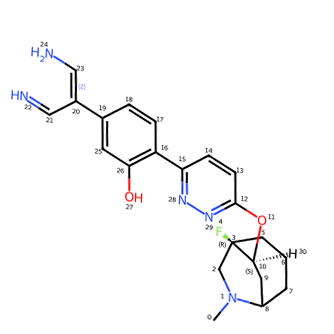 CN1C[C@]2(F)CCCC1C[C@@H]2Oc1ccc(-c2ccc(/C(C=N)=C/N)cc2O)nn1